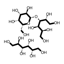 OC[C@@H](O)[C@@H](O)[C@H](O)[C@@H](O)CO.OC[C@@H](O)[C@@H](O[C@@H]1O[C@H](CO)[C@H](O)[C@H](O)[C@H]1O)[C@H](O)[C@@H](O)CO